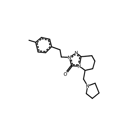 Cc1ccc(CCn2nc3n(c2=O)C(CN2CCCC2)CCC3)cc1